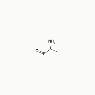 [CH2]C(N)P=O